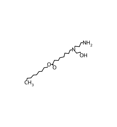 CCCCCCCCCOC(=O)CCCCCCCN(CCO)CCCN